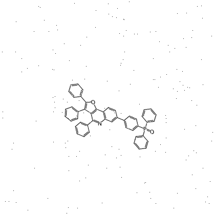 O=P(c1ccccc1)(c1ccccc1)c1ccc(-c2ccc3c(c2)nc(-c2ccccc2)c2c(-c4ccccc4)c(-c4ccccc4)oc23)cc1